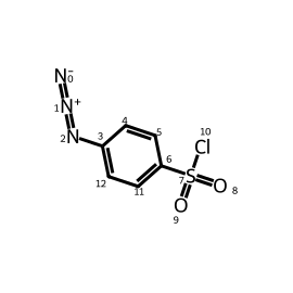 [N-]=[N+]=Nc1ccc(S(=O)(=O)Cl)cc1